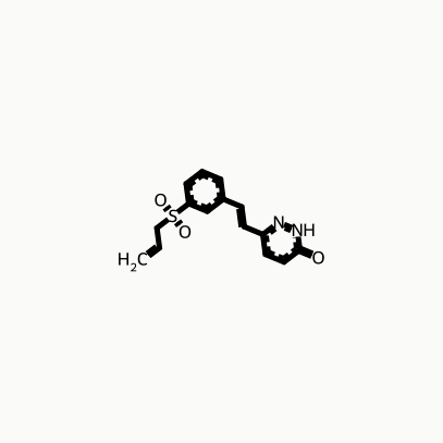 C=CCS(=O)(=O)c1cccc(/C=C/c2ccc(=O)[nH]n2)c1